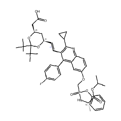 CC(C)OC(=O)[C@H](C)NP(=O)(COc1ccc2nc(C3CC3)c(/C=C/[C@@H]3C[C@H](CC(=O)O)OC(C(C)(C)C)(C(C)(C)C)O3)c(-c3ccc(F)cc3)c2c1)Oc1ccccc1